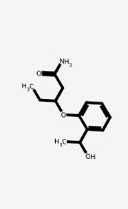 CCC(CC(N)=O)Oc1ccccc1C(C)O